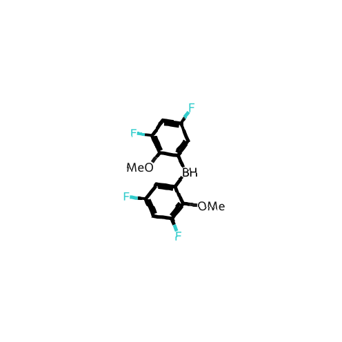 COc1c(F)cc(F)cc1Bc1cc(F)cc(F)c1OC